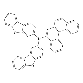 c1ccc2c(c1)ccc1cc(N(c3ccc4c(c3)oc3ccccc34)c3ccc4oc5ccccc5c4c3)c3ccccc3c12